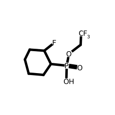 O=P(O)(OCC(F)(F)F)C1CCCCC1F